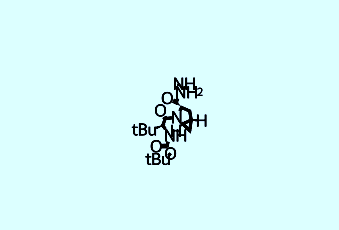 CC(C)(C)OC(=O)N[C@H](C(=O)N1[C@H](C(=O)NN)C[C@@H]2C[C@@H]21)C(C)(C)C